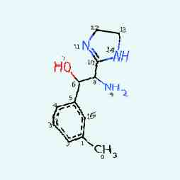 Cc1cccc(C(O)C(N)C2=NCCN2)c1